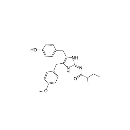 CCC(C)C(=O)/N=c1/[nH]c(Cc2ccc(O)cc2)c(Cc2ccc(OC)cc2)[nH]1